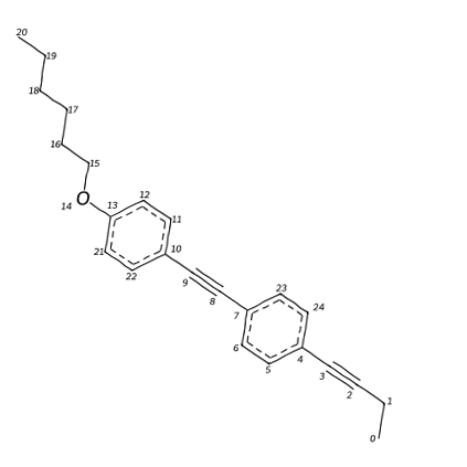 CCC#Cc1ccc(C#Cc2ccc(OCCCCCC)cc2)cc1